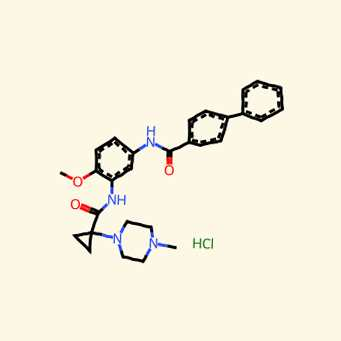 COc1ccc(NC(=O)c2ccc(-c3ccccc3)cc2)cc1NC(=O)C1(N2CCN(C)CC2)CC1.Cl